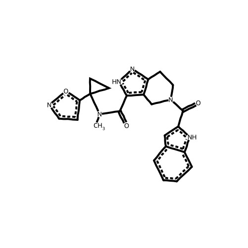 CN(C(=O)c1[nH]nc2c1CN(C(=O)c1cc3ccccc3[nH]1)CC2)C1(c2ccno2)CC1